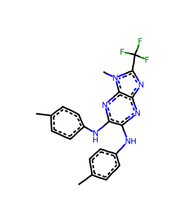 Cc1ccc(Nc2nc3nc(C(F)(F)F)n(C)c3nc2Nc2ccc(C)cc2)cc1